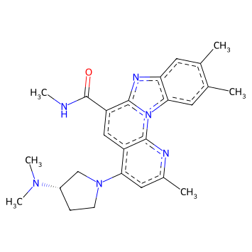 CNC(=O)c1cc2c(N3CC[C@H](N(C)C)C3)cc(C)nc2n2c1nc1cc(C)c(C)cc12